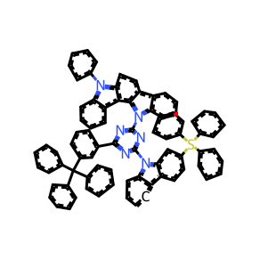 c1ccc(-n2c3ccccc3c3c2ccc2c4ccccc4n(-c4nc(-c5cccc(C(c6ccccc6)(c6ccccc6)c6ccccc6)c5)nc(-n5c6ccccc6c6ccc(S(c7ccccc7)(c7ccccc7)c7ccccc7)cc65)n4)c23)cc1